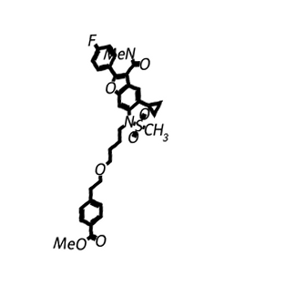 CNC(=O)c1c(-c2ccc(F)cc2)oc2cc(N(CCCCOCCc3ccc(C(=O)OC)cc3)S(C)(=O)=O)c(C3CC3)cc12